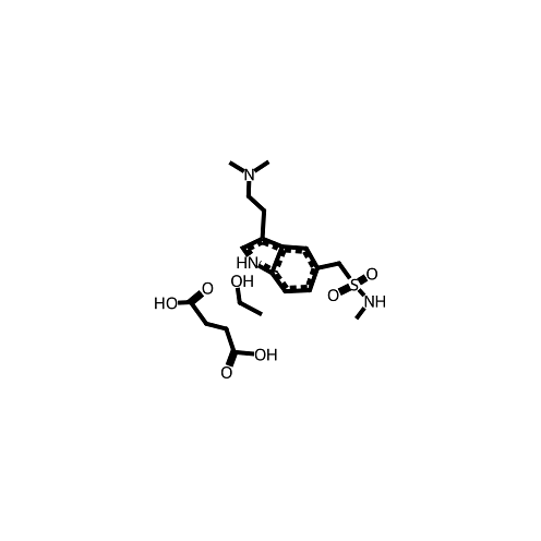 CCO.CNS(=O)(=O)Cc1ccc2[nH]cc(CCN(C)C)c2c1.O=C(O)CCC(=O)O